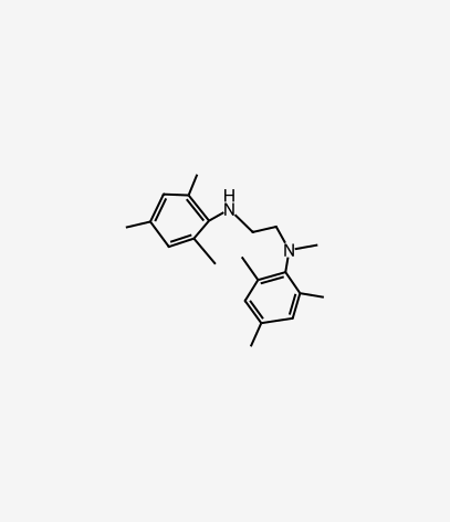 Cc1cc(C)c(NCCN(C)c2c(C)cc(C)cc2C)c(C)c1